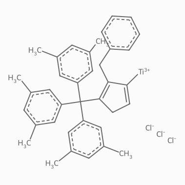 Cc1cc(C)cc(C(C2=C(Cc3ccccc3)[C]([Ti+3])=CC2)(c2cc(C)cc(C)c2)c2cc(C)cc(C)c2)c1.[Cl-].[Cl-].[Cl-]